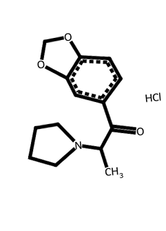 CC(C(=O)c1ccc2c(c1)OCO2)N1CCCC1.Cl